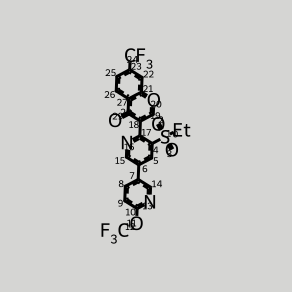 CCS(=O)(=O)c1cc(-c2ccc(OC(F)(F)F)nc2)cnc1-c1coc2cc(C(F)(F)F)ccc2c1=O